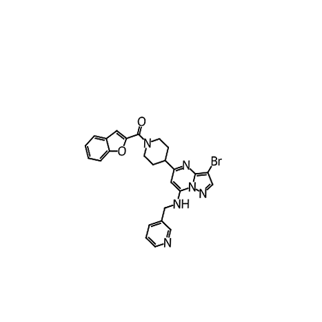 O=C(c1cc2ccccc2o1)N1CCC(c2cc(NCc3cccnc3)n3ncc(Br)c3n2)CC1